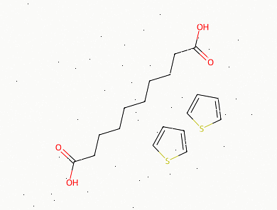 O=C(O)CCCCCCCCC(=O)O.c1ccsc1.c1ccsc1